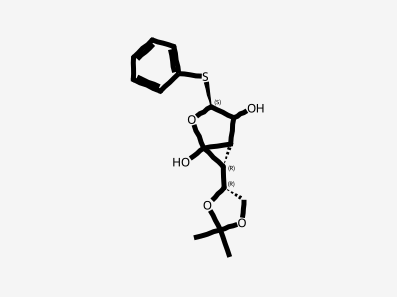 CC1(C)OC[C@@H]([C@H]2C3C(O)[C@H](Sc4ccccc4)OC32O)O1